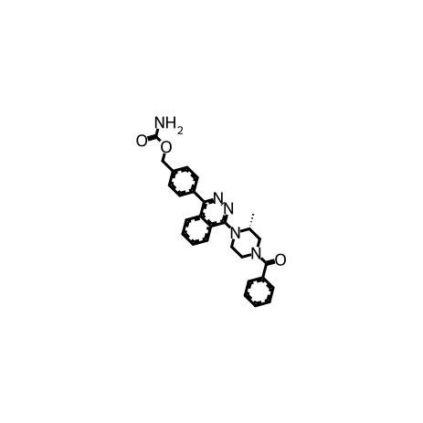 C[C@@H]1CN(C(=O)c2ccccc2)CCN1c1nnc(-c2ccc(COC(N)=O)cc2)c2ccccc12